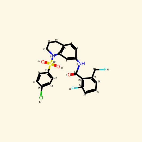 O=C(Nc1ccc2c(c1)N(S(=O)(=O)c1ccc(Cl)cc1)CCC2)c1c(F)cccc1CF